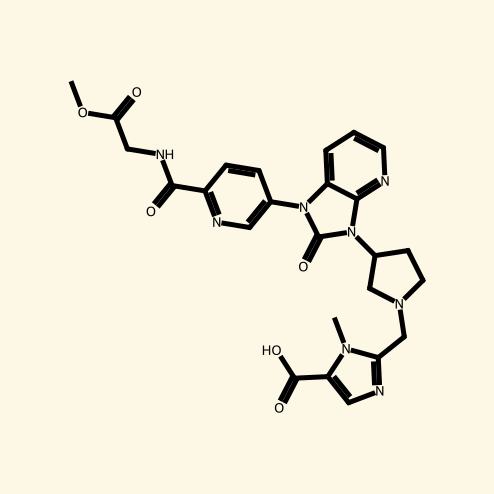 COC(=O)CNC(=O)c1ccc(-n2c(=O)n(C3CCN(Cc4ncc(C(=O)O)n4C)C3)c3ncccc32)cn1